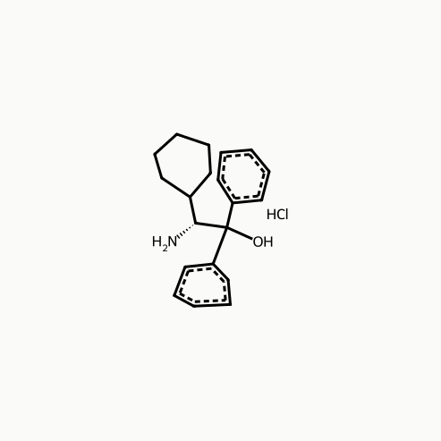 Cl.N[C@H](C1CCCCC1)C(O)(c1ccccc1)c1ccccc1